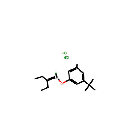 CC[C](CC)=[Ti]([F])[O]c1cc(C)cc(C(C)(C)C)c1.Cl.Cl